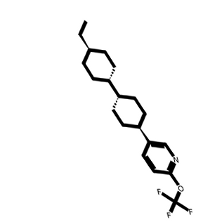 CC[C@H]1CC[C@H]([C@H]2CC[C@H](c3ccc(OC(F)(F)F)nc3)CC2)CC1